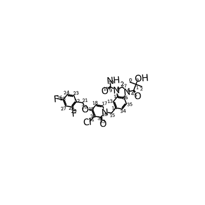 CC(C)(O)C(=O)N1CN(C(N)=O)c2cc(Cn3ccc(OCc4ccc(F)cc4F)c(Cl)c3=O)ccc21